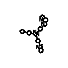 c1ccc(-c2ccc(-c3cc(-c4ccc(-c5nc6ccccc6s5)cc4)nc(-c4ccc(-c5ccc6ccc7cccnc7c6n5)cc4)n3)cc2)cc1